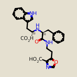 O=C(O)c1ncoc1CCNC(=O)[C@H](Cc1ccccc1)N[C@@H](Cc1c[nH]c2ccccc12)C(=O)O